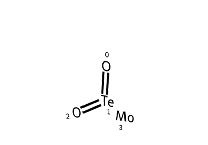 O=[Te]=O.[Mo]